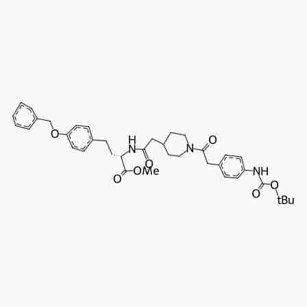 COC(=O)[C@H](CCc1ccc(OCc2ccccc2)cc1)NC(=O)CC1CCN(C(=O)Cc2ccc(NC(=O)OC(C)(C)C)cc2)CC1